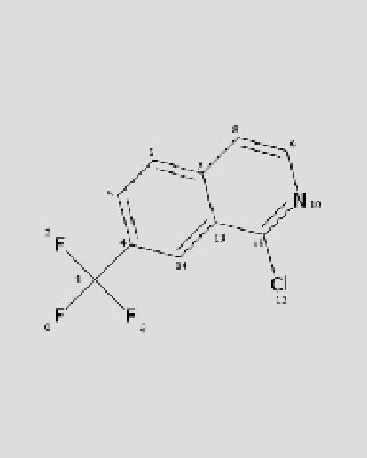 FC(F)(F)c1ccc2ccnc(Cl)c2c1